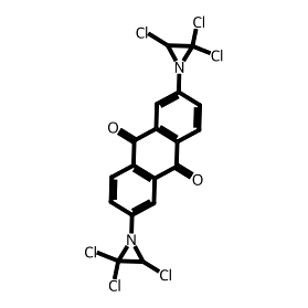 O=C1c2ccc(N3C(Cl)C3(Cl)Cl)cc2C(=O)c2ccc(N3C(Cl)C3(Cl)Cl)cc21